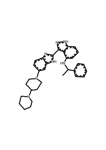 CC(Nc1cccc2[nH]nc(-c3nc4ccc(N5CCC(N6CCCCC6)CC5)cc4[nH]3)c12)c1ccccc1